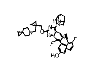 C#Cc1c(F)ccc2cc(O)cc(-c3c(F)cc4c(N5CC6CCC(C5)N6)nc(OCC5(CN6CCC7(CC6)CC7)CC5)nc4c3F)c12